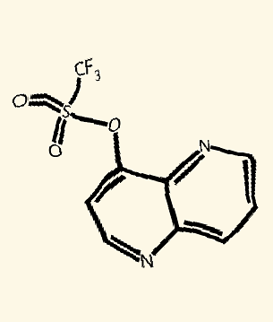 O=S(=O)(Oc1ccnc2cccnc12)C(F)(F)F